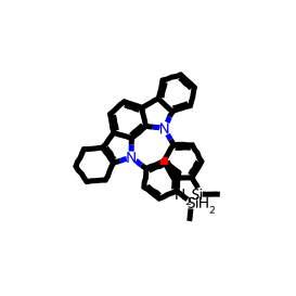 C[SiH2]c1ccc(-n2c3c(c4ccc5c6ccccc6n(-c6ccc([SiH2]C)cc6)c5c42)CCCC3)cc1